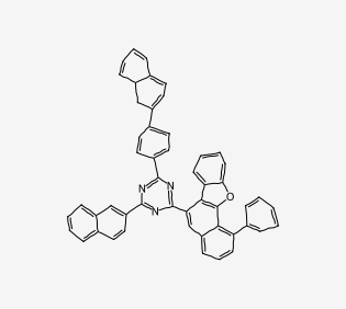 C1=CC2=CC=C(c3ccc(-c4nc(-c5ccc6ccccc6c5)nc(-c5cc6cccc(-c7ccccc7)c6c6oc7ccccc7c56)n4)cc3)CC2C=C1